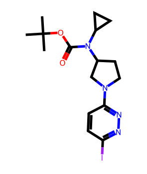 CC(C)(C)OC(=O)N(C1CC1)C1CCN(c2ccc(I)nn2)C1